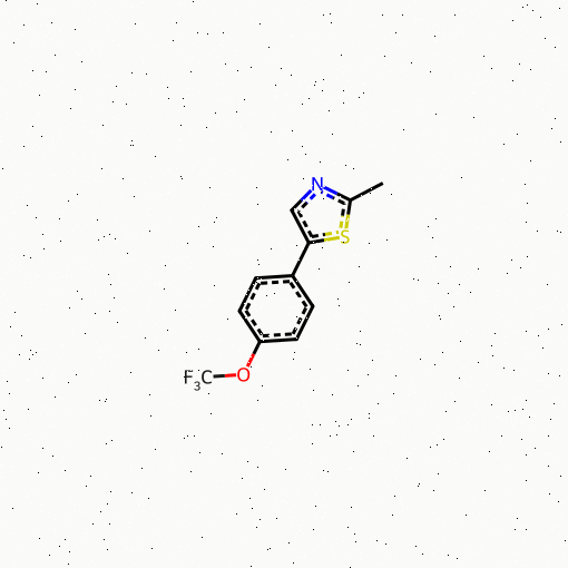 Cc1ncc(-c2ccc(OC(F)(F)F)cc2)s1